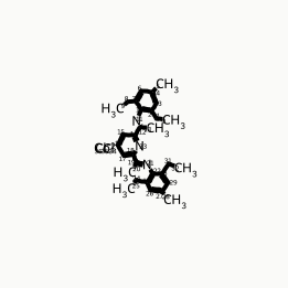 CCc1cc(C)cc(CC)c1N=C(C)c1cccc(C(C)=Nc2c(CC)cc(C)cc2CC)n1.[Cl-].[Cl-].[Co+2]